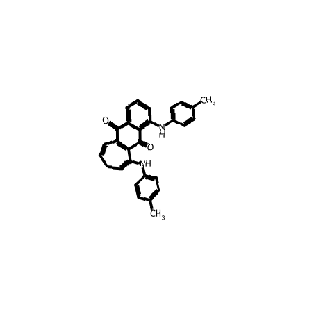 Cc1ccc(NC2=CCC=CC3=C2C(=O)c2c(Nc4ccc(C)cc4)cccc2C3=O)cc1